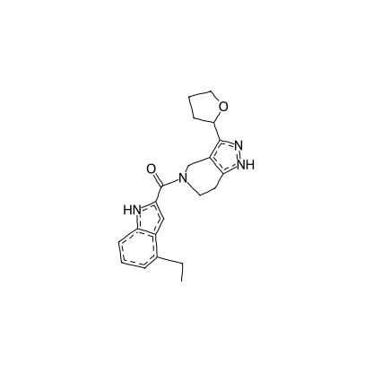 CCc1cccc2[nH]c(C(=O)N3CCc4[nH]nc(C5CCCO5)c4C3)cc12